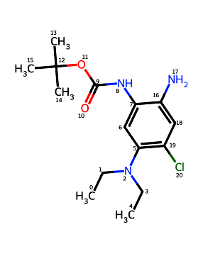 CCN(CC)c1cc(NC(=O)OC(C)(C)C)c(N)cc1Cl